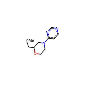 COCC1CN(c2ccncn2)CCO1